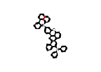 c1ccc(-c2ccccc2N(c2ccccc2)c2ccc3c(c2)Oc2cccc4c2c-3cc2c3ccccc3c(N(c3ccccc3)c3ccccc3)cc42)cc1